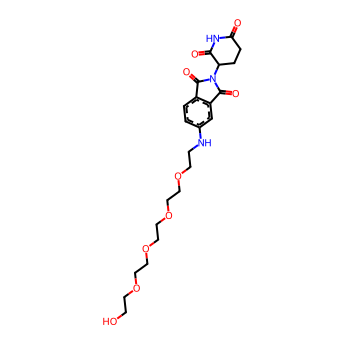 O=C1CCC(N2C(=O)c3ccc(NCCOCCOCCOCCOCCO)cc3C2=O)C(=O)N1